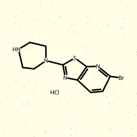 Brc1ccc2nc(N3CCNCC3)sc2n1.Cl